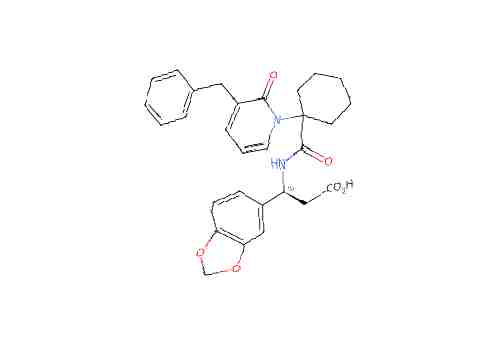 O=C(O)C[C@H](NC(=O)C1(n2cccc(Cc3ccccc3)c2=O)CCCCC1)c1ccc2c(c1)OCO2